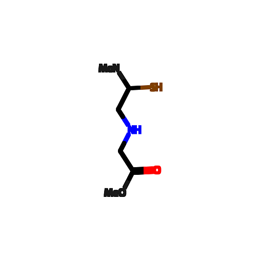 CNC(S)CNCC(=O)OC